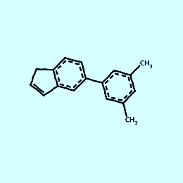 Cc1cc(C)cc(-c2ccc3c(c2)C=CC3)c1